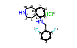 Cl.Fc1cccc(F)c1CNc1cccc2c1CCNCC2